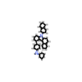 CN(c1ccccc1)c1ccc(-c2cccc3c2c2c4ccccc4ccc2n3-c2ccc3ccccc3c2)cc1